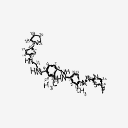 Cc1cc(NNc2ccc(NCNc3ccc(N4CCCC4)s3)cc2C)ccc1/N=N/c1ncc(F)s1